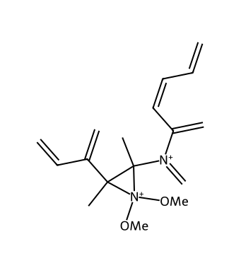 C=C/C=C\C(=C)[N+](=C)C1(C)C(C)(C(=C)C=C)[N+]1(OC)OC